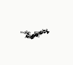 COC(=O)NC(C(=O)N1C[C@@H](C)C[C@H]1c1nc2c(ccc3cc(-c4cc(Cl)c(NC(=O)c5ccc(N6CCN(C(=O)C7CC7)C[C@@H]6C)nc5)cc4OC(F)(F)F)ccc32)[nH]1)C(C)C